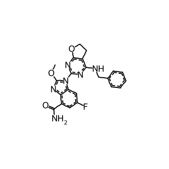 COc1nc2c(C(N)=O)cc(F)cc2n1-c1nc(NCc2ccccc2)c2c(n1)OCC2